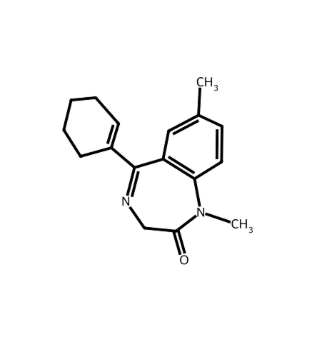 Cc1ccc2c(c1)C(C1=CCCCC1)=NCC(=O)N2C